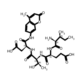 CC[C@H](C)[C@H](N)C(=O)N[C@@H](CCC(=O)O)C(=O)N[C@H](C(=O)N[C@@H](CC(=O)O)C(=O)Nc1ccc2c(C)cc(=O)oc2c1)[C@@H](C)O